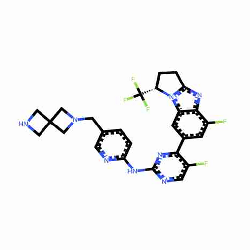 Fc1cnc(Nc2ccc(CN3CC4(CNC4)C3)cn2)nc1-c1cc(F)c2nc3n(c2c1)[C@H](C(F)(F)F)CC3